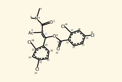 CC(=O)/C(C(=O)N(C)C)=C(/OC(=O)c1ccc(Cl)cc1Cl)c1ccc(Cl)cc1Cl